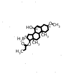 B[C@@H]1CC2C3C(CC[C@]2(C)C1OC(=O)CC)[C@@]1(C)CC[C@H](OC)CC1=C[C@@H]3O